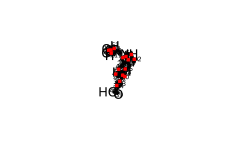 C=C(C)[C@@H]1CC[C@]2(NCCN3C[C@H]4C[C@@H]3CS4(=O)=O)CC[C@]3(C)[C@H](CC[C@@H]4[C@@]5(C)CC=C(C6=CC7C(C6)C7C(=O)O)C(C)(C)[C@@H]5CC[C@]43C)[C@@H]12